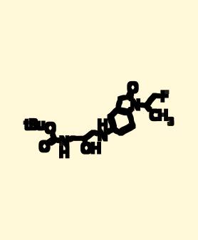 CC(CF)N1C(=O)Cc2cc(NCC(O)CNC(=O)OC(C)(C)C)ccc21